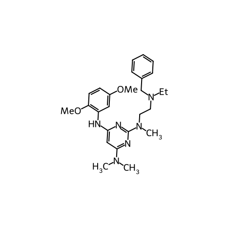 CCN(CCN(C)c1nc(Nc2cc(OC)ccc2OC)cc(N(C)C)n1)Cc1ccccc1